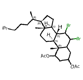 CC(=O)OC1CC(OC(C)=O)[C@@]2(C)C(C1)C(Br)C(Br)[C@@H]1[C@@H]2CC[C@]2(C)[C@@H]([C@H](C)CCCC(C)C)CC[C@@H]12